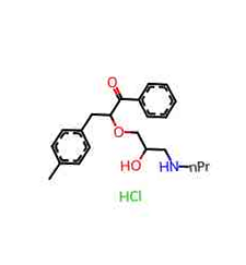 CCCNCC(O)COC(Cc1ccc(C)cc1)C(=O)c1ccccc1.Cl